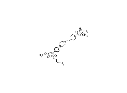 CCCCS(=O)(=O)N(CC(=O)OC)c1ccc(N2CCN(CCC3CCN(C(=O)OC(C)(C)C)CC3)CC2)cc1